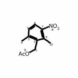 CC(=O)OCc1c(C)ccc([N+](=O)[O-])c1C